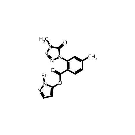 CCn1nccc1OC(=O)c1ccc(C)cc1-n1nnn(C)c1=O